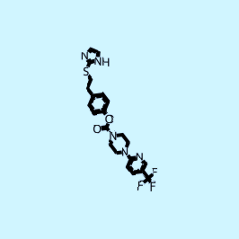 O=C(Oc1ccc(CCSc2ncc[nH]2)cc1)N1CCN(c2ccc(C(F)(F)F)cn2)CC1